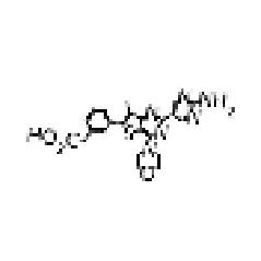 Cc1c(-c2cccc(CC(=O)O)c2)sc2c(N3CCOCC3)nc(-c3cnc(N)nc3)nc12